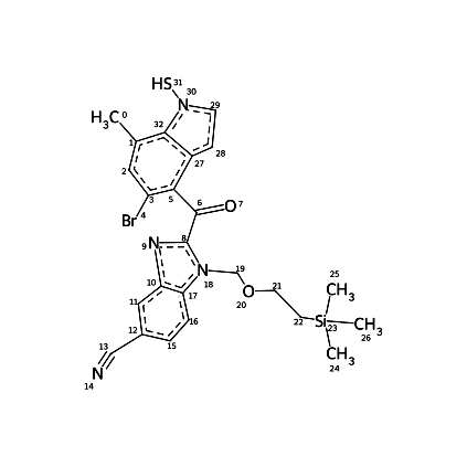 Cc1cc(Br)c(C(=O)c2nc3cc(C#N)ccc3n2COCC[Si](C)(C)C)c2ccn(S)c12